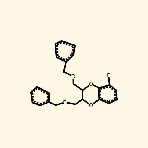 Fc1cccc2c1OC(COCc1ccccc1)C(COCc1ccccc1)O2